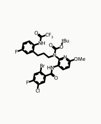 COc1ccc(NC(=O)c2cc(Cl)c(F)cc2Br)c(N(CCCc2cc(F)ccc2NC(=O)C(F)(F)F)C(=O)OC(C)(C)C)n1